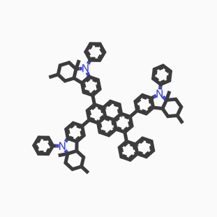 CC1CCC2(C)C(C1)c1cc(-c3cc(-c4ccc5c(c4)C4CC(C)CCC4(C)N5c4ccccc4)c4ccc5c(-c6cccc7ccccc67)cc(-c6ccc7c(c6)C6CC(C)CCC6(C)N7c6ccccc6)c6ccc3c4c65)ccc1N2c1ccccc1